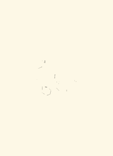 C[C@@H](CC(N)=O)CC(=O)N(C(=O)c1ccccc1)C1CCCNCC1O